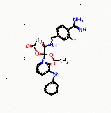 CCO[C@](OC(C)=O)(C(=O)NCc1ccc(C(=N)N)c(F)c1)n1cccc(Nc2ccccc2)c1=O